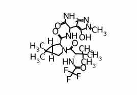 Cn1ncc(C(NC(=O)[C@@H]2[C@@H]3[C@H](CN2C(=O)[C@@H](NC(=O)C(F)(F)F)C(C)(C)C)C3(C)C)C(N)=O)c1O